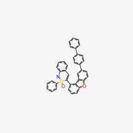 O=S1(c2ccccc2)=Nc2ccccc2C=C1c1cccc2oc3ccc(-c4ccc(-c5ccccc5)cc4)cc3c12